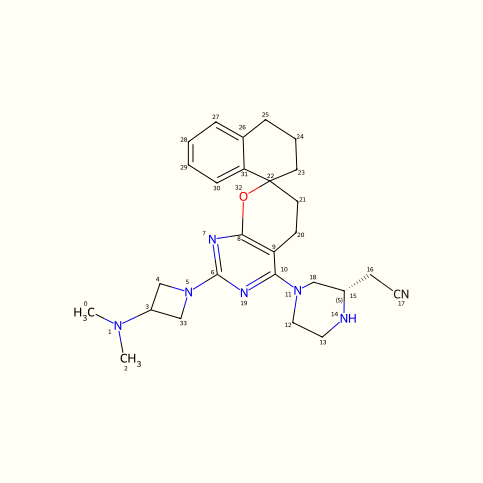 CN(C)C1CN(c2nc3c(c(N4CCN[C@@H](CC#N)C4)n2)CCC2(CCCc4ccccc42)O3)C1